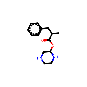 CC(Cc1ccccc1)C(=O)OC1CNCCN1